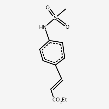 CCOC(=O)/C=C/c1ccc(NS(C)(=O)=O)cc1